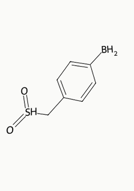 Bc1ccc(C[SH](=O)=O)cc1